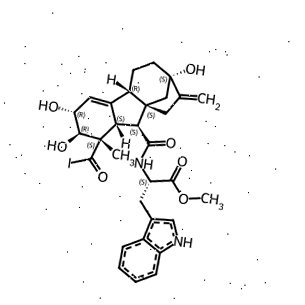 C=C1C[C@]23C[C@@]1(O)CC[C@H]2C1=C[C@@H](O)[C@H](O)[C@@](C)(C(=O)I)[C@H]1[C@@H]3C(=O)N[C@@H](Cc1c[nH]c2ccccc12)C(=O)OC